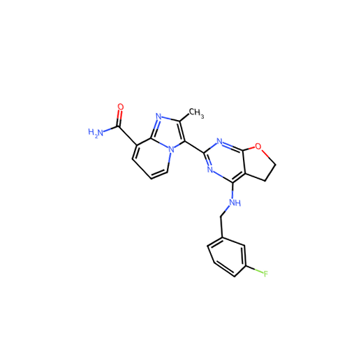 Cc1nc2c(C(N)=O)cccn2c1-c1nc(NCc2cccc(F)c2)c2c(n1)OCC2